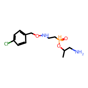 CC(CN)O[PH](=O)CCNOCc1ccc(Cl)cc1